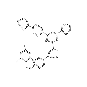 Cc1cc(C)c2ccc3ccc(-c4cccc(-c5nc(-c6ccccc6)cc(-c6ccc(-c7ccccc7)cc6)n5)c4)nc3c2n1